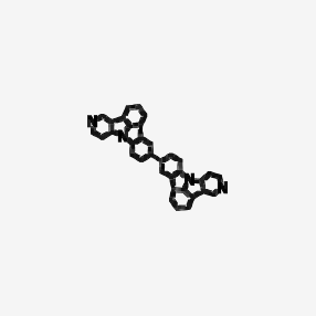 c1cc2c3cnccc3n3c4ccc(-c5ccc6c(c5)c5cccc7c8cnccc8n6c75)cc4c(c1)c23